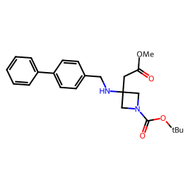 COC(=O)CC1(NCc2ccc(-c3ccccc3)cc2)CN(C(=O)OC(C)(C)C)C1